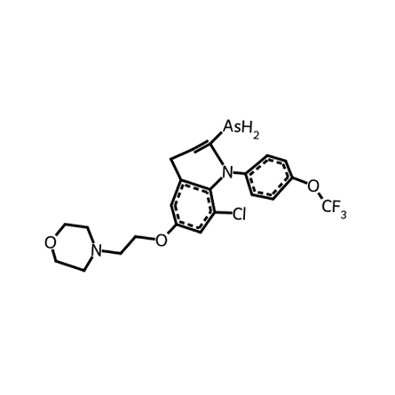 FC(F)(F)Oc1ccc(N2C([AsH2])=CCc3cc(OCCN4CCOCC4)cc(Cl)c32)cc1